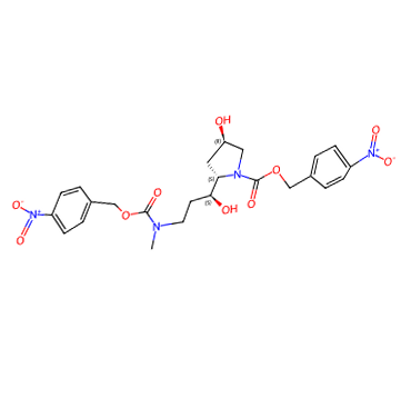 CN(CC[C@H](O)[C@@H]1C[C@@H](O)CN1C(=O)OCc1ccc([N+](=O)[O-])cc1)C(=O)OCc1ccc([N+](=O)[O-])cc1